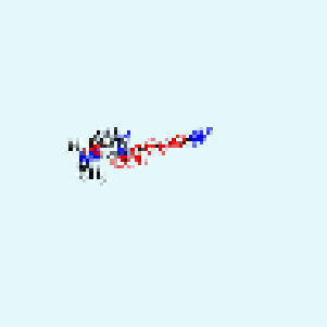 Cc1ccnc(N(CCCCC(=O)N[C@@H](COCCOCCOCCOCCN=[N+]=[N-])C(=O)O)C(=O)OC(C)(C)C)c1